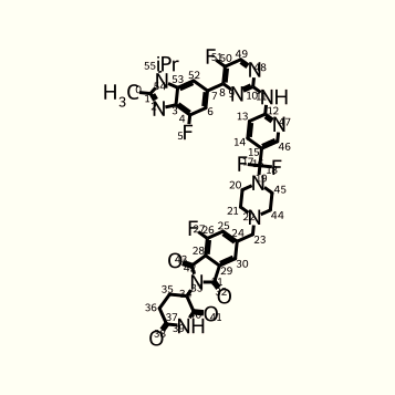 Cc1nc2c(F)cc(-c3nc(Nc4ccc(C(F)(F)N5CCN(Cc6cc(F)c7c(c6)C(=O)N(C6CCC(=O)NC6=O)C7=O)CC5)cn4)ncc3F)cc2n1C(C)C